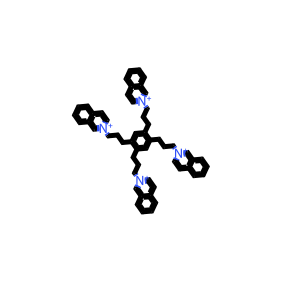 c1ccc2c[n+](CCCc3cc(CCC[n+]4ccc5ccccc5c4)c(CCC[n+]4ccc5ccccc5c4)cc3CCC[n+]3ccc4ccccc4c3)ccc2c1